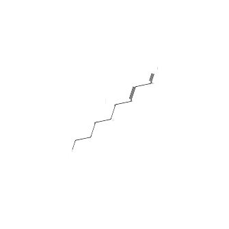 CCCCCCC=C[C]=O.[H+]